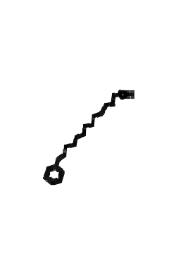 OCCCCCCCCCCCCCc1ccccc1